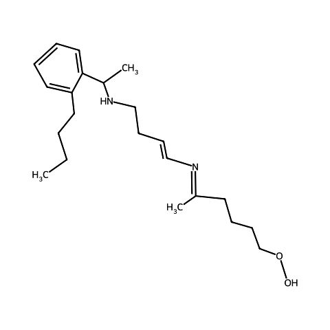 CCCCc1ccccc1C(C)NCC/C=C/N=C(\C)CCCCOO